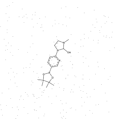 CN1CCN(c2ccc(B3OC(C)(C)C(C)(C)O3)cn2)C1O